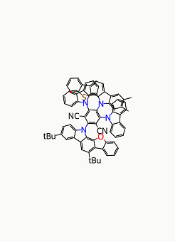 Cc1cc2c3ccc4c5ccccc5sc4c3n(-c3c(-n4c5ccccc5c5ccccc54)c(C#N)c(-n4c5ccc(C(C)(C)C)cc5c5cc(C(C)(C)C)c6c7ccccc7oc6c54)c(C#N)c3-n3c4ccccc4c4ccccc43)c2cc1C